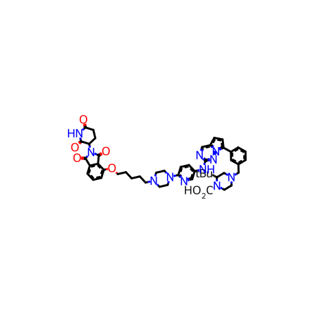 CC(C)(C)C1CN(Cc2cccc(-c3ccc4cnc(Nc5ccc(N6CCN(CCCCCOc7cccc8c7C(=O)N(C7CCC(=O)NC7=O)C8=O)CC6)nc5)nn34)c2)CCN1C(=O)O